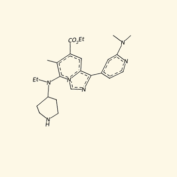 CCOC(=O)c1cc2c(-c3ccnc(N(C)C)c3)ncn2c(N(CC)C2CCNCC2)c1C